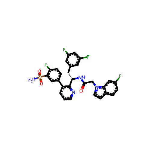 NS(=O)(=O)c1cc(-c2cccnc2[C@H](Cc2cc(F)cc(F)c2)NC(=O)Cn2ccc3ccc(F)cc32)ccc1F